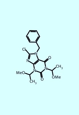 COC(C)n1c(=O)c2c(nc(Cl)n2Cc2ccccc2)n(C(C)OC)c1=O